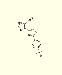 N#Cc1[nH]nnc1-c1coc(-c2ccc(C(F)(F)F)cc2)n1